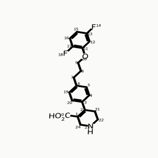 O=C(O)C1=C(c2ccc(CCCOc3cc(F)ccc3F)cc2)CCNC1